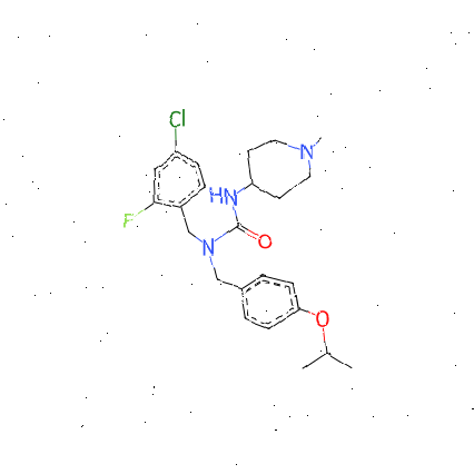 CC(C)Oc1ccc(CN(Cc2ccc(Cl)cc2F)C(=O)NC2CCN(C)CC2)cc1